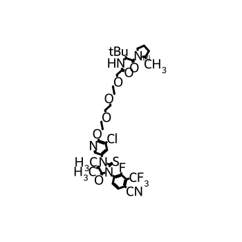 C[C@@H]1CCCN1C(=O)C(NC(=O)COCCOCCOCCOc1ncc(N2C(=S)N(c3ccc(C#N)c(C(F)(F)F)c3F)C(=O)C2(C)C)cc1Cl)C(C)(C)C